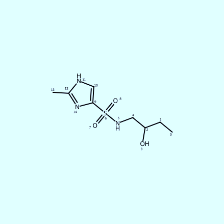 CCC(O)CNS(=O)(=O)c1c[nH]c(C)n1